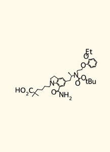 CCOc1ccccc1OCCN(C(=O)OC(C)(C)C)[C@H](C)Cc1cc2c(c(C(N)=O)c1)N(CCCCC(C)(C)C(=O)O)CC2